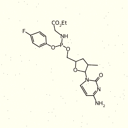 CCOC(=O)CNP(OCC1CC(C)C(n2ccc(N)nc2=O)O1)Oc1ccc(F)cc1